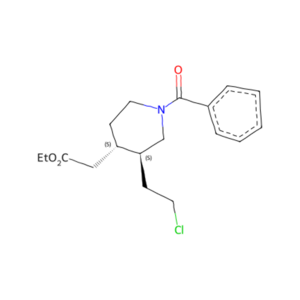 CCOC(=O)C[C@@H]1CCN(C(=O)c2ccccc2)C[C@H]1CCCl